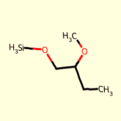 CCC(CO[SiH3])OC